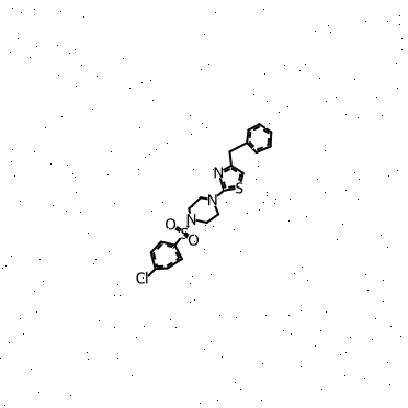 O=S(=O)(c1ccc(Cl)cc1)N1CCN(c2nc(Cc3ccccc3)cs2)CC1